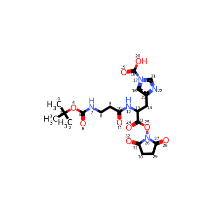 CC(C)(C)OC(=O)NCCC(=O)NC(Cc1cn(C(=O)O)cn1)C(=O)ON1C(=O)CCC1=O